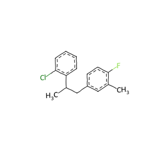 Cc1cc(CC(C)c2ccccc2Cl)ccc1F